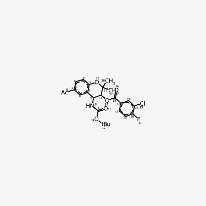 CC(=O)c1ccc2c(c1)[C@H](NC(=O)OC(C)(C)C)[C@H](OC(=O)c1ccc(F)c(Cl)c1)C(C)(C)O2